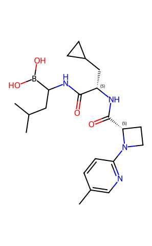 Cc1ccc(N2CC[C@H]2C(=O)N[C@@H](CC2CC2)C(=O)NC(CC(C)C)B(O)O)nc1